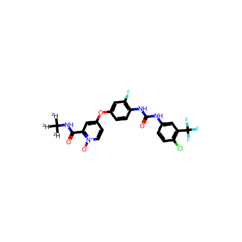 [2H]C([2H])([2H])NC(=O)c1cc(Oc2ccc(NC(=O)Nc3ccc(Cl)c(C(F)(F)F)c3)c(F)c2)cc[n+]1[O-]